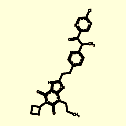 CCCn1c(=O)n(C2CCC2)c(=O)c2[nH]c(CCc3ccc(N(C)C(=O)c4cnc(Cl)cn4)nc3)nc21